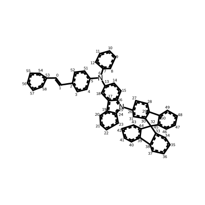 C(=C\c1ccc(N(c2ccccc2)c2ccc3c(c2)c2ccccc2n3-c2ccc3c(c2)C2(c4ccccc4-c4ccccc42)c2ccccc2-3)cc1)/c1ccccc1